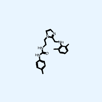 Cc1ccc(NC(=O)NCCN2CCN=C2CNc2c(C)cccc2C)cc1